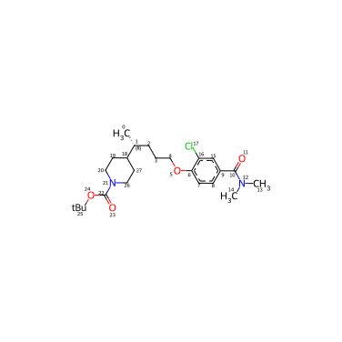 C[C@H](CCCOc1ccc(C(=O)N(C)C)cc1Cl)C1CCN(C(=O)OC(C)(C)C)CC1